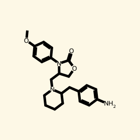 COc1ccc(N2C(=O)OCC2CN2CCCCC2Cc2ccc(N)cc2)cc1